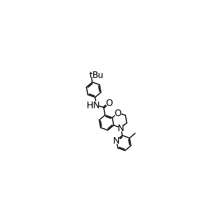 Cc1cccnc1N1CCOc2c(C(=O)Nc3ccc(C(C)(C)C)cc3)cccc21